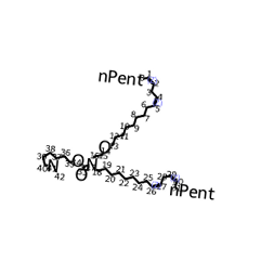 CCCCC/C=C\C/C=C\CCCCCCCCOCCN(CCCCCCCC/C=C\C/C=C\CCCCC)C(=O)OCCC1CCCN1C